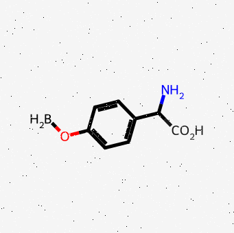 BOc1ccc(C(N)C(=O)O)cc1